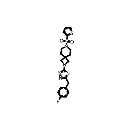 O=S(=O)(c1cccs1)N1CCC2(CC1)CN(c1nc(Cc3ccc(F)cc3)ns1)C2